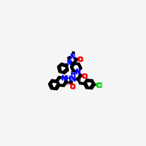 CN1CN(c2ccccc2)C2(CCN(C(=O)[C@@H](Cc3ccc(Cl)cc3)NC(=O)[C@H]3Cc4ccccc4CN3)CC2)C1=O